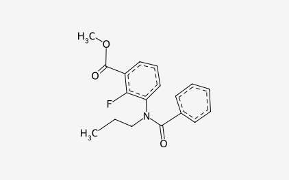 CCCN(C(=O)c1ccccc1)c1cccc(C(=O)OC)c1F